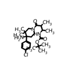 CC(NC(=O)OC(C)(C)C)C(C)C(=O)N1CCC(N)(c2ccc(Cl)cc2)C(C)(C)C1